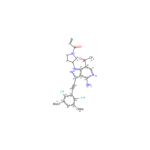 C=CC(=O)N1CCC(n2nc(C#Cc3c(F)c(OC)cc(OC)c3F)c3c(N)ncc(C(=O)C(F)(F)F)c32)C1